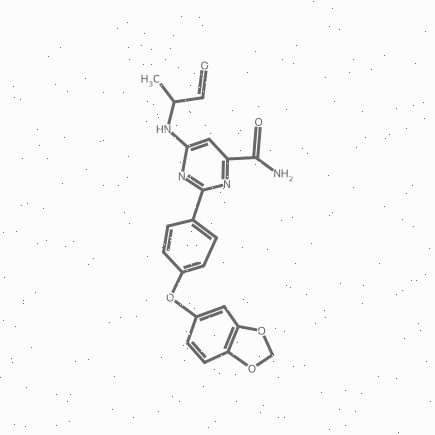 CC(C=O)Nc1cc(C(N)=O)nc(-c2ccc(Oc3ccc4c(c3)OCO4)cc2)n1